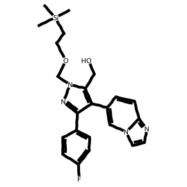 C[Si](C)(C)CCOCn1nc(-c2ccc(F)cc2)c(-c2ccc3nccn3c2)c1CO